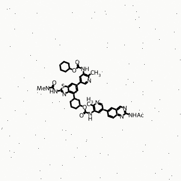 CNC(=O)Nc1nc2c(C3CCCC(OC(=O)Nc4cc(-c5ccc6nc(NC(C)=O)ncc6c5)cnc4C)C3)cc(-c3cnc(C)c(NC(=O)OC4CCCCC4)c3)cc2s1